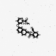 CNC(=O)c1cc(Oc2ccc3c(c2)CC(NC(=O)c2ccccc2C#N)CC3)ccn1